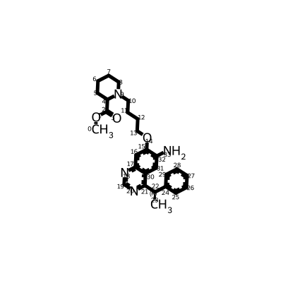 COC(=O)C1CCCCN1CCCCOc1cc2ncnc([C@H](C)c3ccccc3)c2cc1N